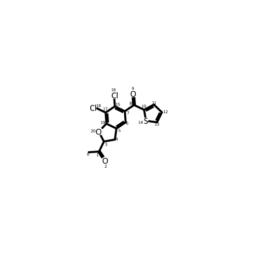 CC(=O)C1Cc2cc(C(=O)c3cccs3)c(Cl)c(Cl)c2O1